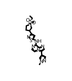 CCS(=O)(=O)N1CCC(c2cc(Nc3nccn4c(-c5cnn(C)c5)cnc34)sn2)C1